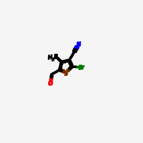 Bc1c(C=O)sc(Br)c1C#N